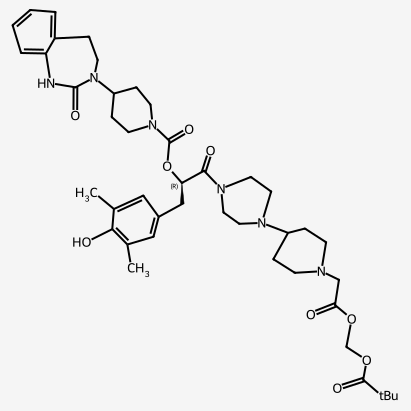 Cc1cc(C[C@@H](OC(=O)N2CCC(N3CCc4ccccc4NC3=O)CC2)C(=O)N2CCN(C3CCN(CC(=O)OCOC(=O)C(C)(C)C)CC3)CC2)cc(C)c1O